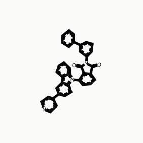 O=C1c2cccc(-n3c4ccccc4c4cc(-c5ccncc5)ccc43)c2C(=O)N1c1cccc(-c2ccccc2)c1